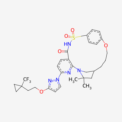 CC1(C)CC2CCCOc3ccc(cc3)S(=O)(=O)NC(=O)c3ccc(-n4ccc(OCCC5(C(F)(F)F)CC5)n4)nc3N1C2